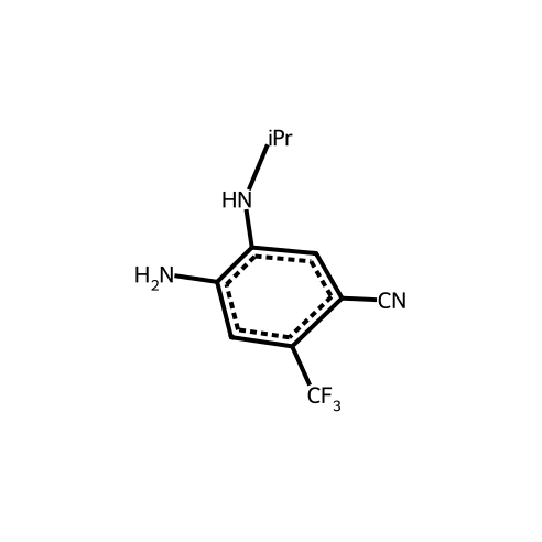 CC(C)Nc1cc(C#N)c(C(F)(F)F)cc1N